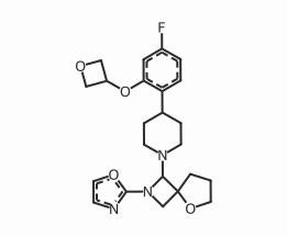 Fc1ccc(C2CCN(C3N(c4ncco4)CC34CCCO4)CC2)c(OC2COC2)c1